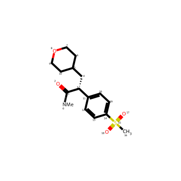 CNC(=O)[C@H](CC1CCOCC1)c1ccc(S(C)(=O)=O)cc1